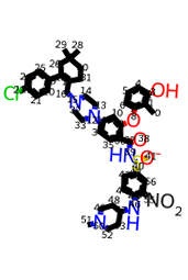 Cc1c(O)cccc1Oc1cc(N2CCN(CC3=C(c4ccc(Cl)cc4)CC(C)(C)CC3)CC2)ccc1C(=O)N[S+]([O-])c1ccc(NC2CCN(C)CC2)c([N+](=O)[O-])c1